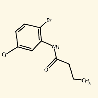 CCCC(=O)Nc1cc(Cl)ccc1Br